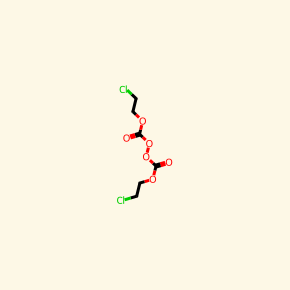 O=C(OCCCl)OOC(=O)OCCCl